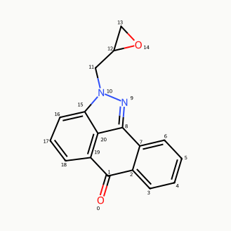 O=C1c2ccccc2-c2nn(CC3CO3)c3cccc1c23